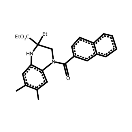 CCOC(=O)C1(CC)CN(C(=O)c2ccc3ccccc3c2)c2cc(C)c(C)cc2N1